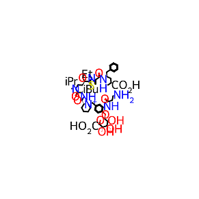 CCO[C@H](C[C@H](C(C)C)N(C)C(=O)[C@@H](NC(=O)[C@H]1CCCC[N+]1(C)Cc1ccc(O[C@@H]2O[C@H](C(=O)O)[C@@H](O)[C@@H](O)[C@@H]2O)c(NC(=O)CCN)c1)[C@@H](C)CC)c1nc(C(=O)N[C@@H](Cc2ccccc2)C[C@H](C)C(=O)O)cs1